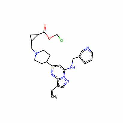 C=Cc1cnn2c(NCc3cccnc3)cc(C3CCN(CC4CC4C(=O)OCCl)CC3)nc12